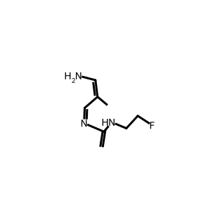 C=C(/N=C\C(C)=C/N)NCCF